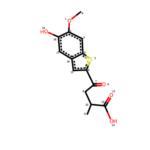 COc1cc2sc(C(=O)CC(C)C(=O)O)cc2cc1O